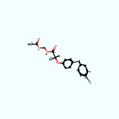 CCC(C)(Oc1ccc(Cc2ccc(Cl)cc2)cc1)C(=O)OCOC(=O)C(C)(C)C